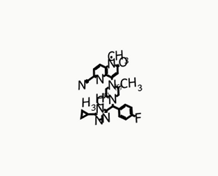 C[C@@H]1CN(c2cc(=O)n(C)c3ccc(C#N)nc23)[C@@H](C)CN1C(c1ccc(F)cc1)c1nnc(C2CC2)[nH]1